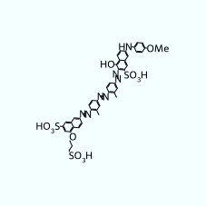 COc1ccc(Nc2ccc3c(O)c(N=Nc4ccc(N=Nc5ccc(N=Nc6ccc7c(OCCCS(=O)(=O)O)cc(S(=O)(=O)O)cc7c6)c(C)c5)c(C)c4)c(S(=O)(=O)O)cc3c2)cc1